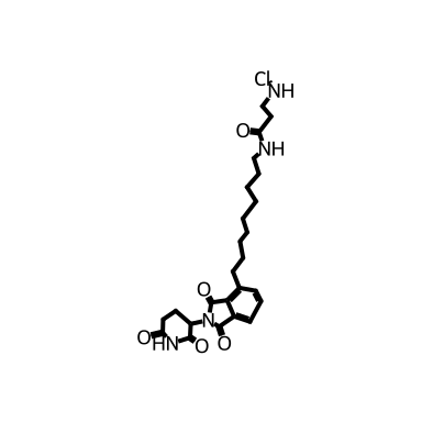 O=C(CCNCl)NCCCCCCCCCc1cccc2c1C(=O)N(C1CCC(=O)NC1=O)C2=O